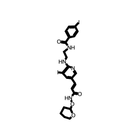 O=C(/C=C/c1cnc(NCCNC(=O)c2ccc(I)cc2)c(I)c1)NOC1CCCCO1